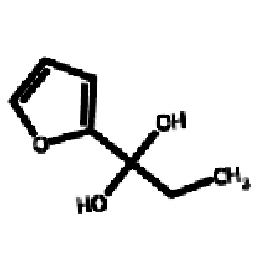 CCC(O)(O)c1ccco1